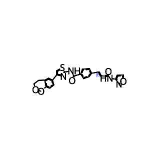 O=C(/C=C/c1ccc(C(=O)Nc2nc(-c3ccc4c(c3)CCOO4)cs2)cc1)Nc1ccon1